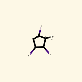 CCC1C(I)CC(I)C1I